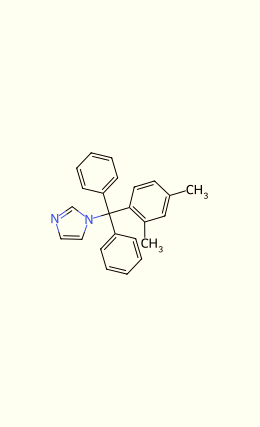 Cc1ccc(C(c2ccccc2)(c2ccccc2)n2ccnc2)c(C)c1